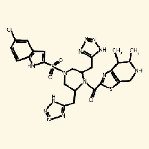 CC1NCc2sc(C(=O)N3C(Cc4nnn[nH]4)CN(S(=O)(=O)c4cc5cc(Cl)ccc5[nH]4)CC3Cc3nnn[nH]3)nc2C1C